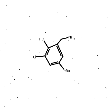 CC(C)(C)c1cc(Cl)c(O)c(CN)c1